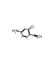 C#Cc1ccc(N)cc1Cl